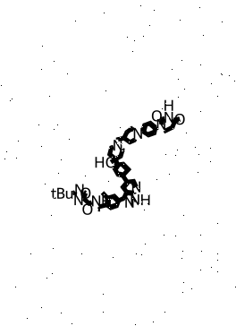 Cc1cc(-c2n[nH]c3ncc(-c4ccc(C5(O)CCN(CC6CCN(c7ccc(N8CCC(=O)NC8=O)cc7)CC6)CC5)cc4)cc23)ccc1[C@@H](C)NC(=O)c1nc(C(C)(C)C)no1